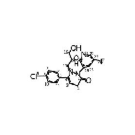 O=C1CC=C(c2ccc(Cl)cc2)N(CC(O)CO)N1c1cncc(F)c1